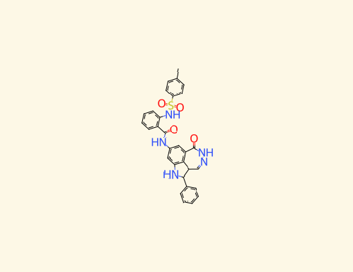 Cc1ccc(S(=O)(=O)Nc2ccccc2C(=O)Nc2cc3c4c(c2)C(=O)NN=CC4C(c2ccccc2)N3)cc1